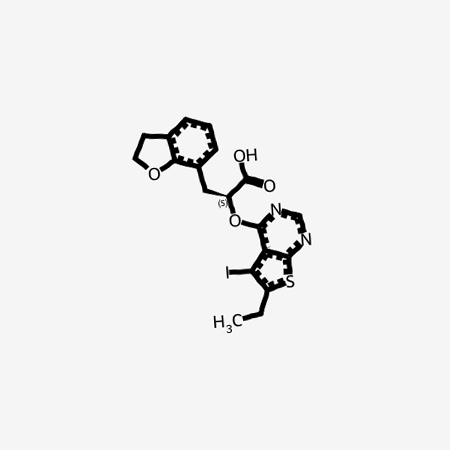 CCc1sc2ncnc(O[C@@H](Cc3cccc4c3OCC4)C(=O)O)c2c1I